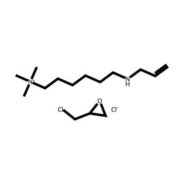 C=CCNCCCCCC[N+](C)(C)C.ClCC1CO1.[Cl-]